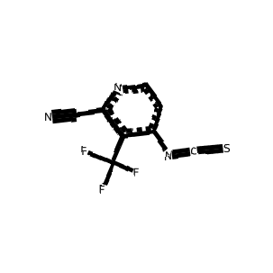 N#Cc1nccc(N=C=S)c1C(F)(F)F